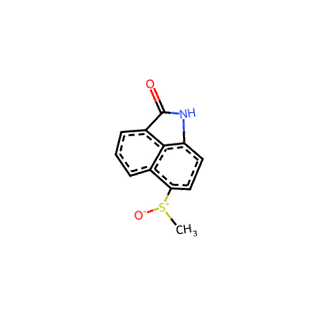 C[S+]([O-])c1ccc2c3c(cccc13)C(=O)N2